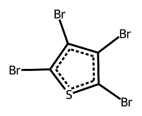 Brc1sc(Br)c(Br)c1Br